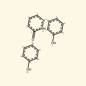 O=c1cccn[nH]1.Oc1ccccc1.Oc1ccccc1